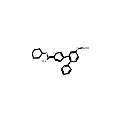 CCCCCCCCCCOc1ccc(-c2ccccc2)c(C2=CC/C(=C(/C)OC3CCCCC3)C=C2)c1